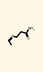 C/C=N\CCC(N)=O